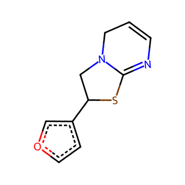 C1=CN=C2SC(c3ccoc3)CN2C1